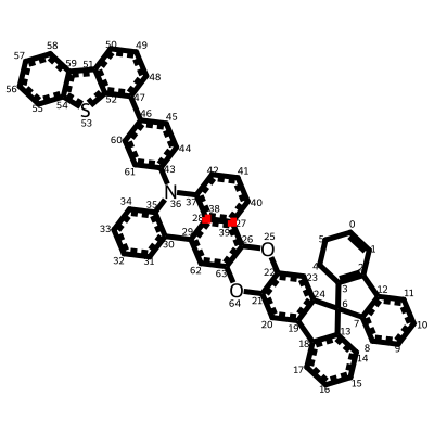 C1=CC2=C(CC1)C1(c3ccccc32)c2ccccc2-c2cc3c(cc21)Oc1ccc(-c2ccccc2N(c2ccccc2)c2ccc(-c4cccc5c4sc4ccccc45)cc2)cc1O3